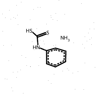 N.S=C(S)Nc1ccccc1